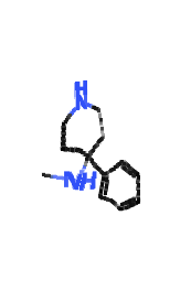 CNC1(c2ccccc2)CCNCC1